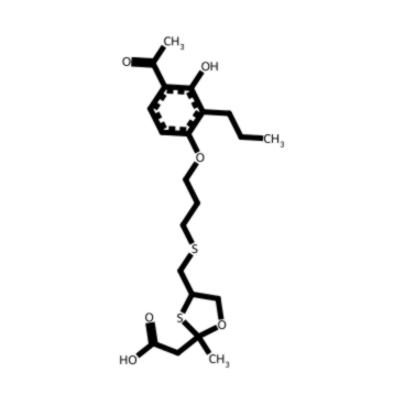 CCCc1c(OCCCSCC2COC(C)(CC(=O)O)S2)ccc(C(C)=O)c1O